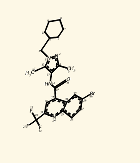 Cc1nn(CC2CCCCC2)c(C)c1NC(=O)c1cc(C(F)(F)F)nc2ccc(Br)cc12